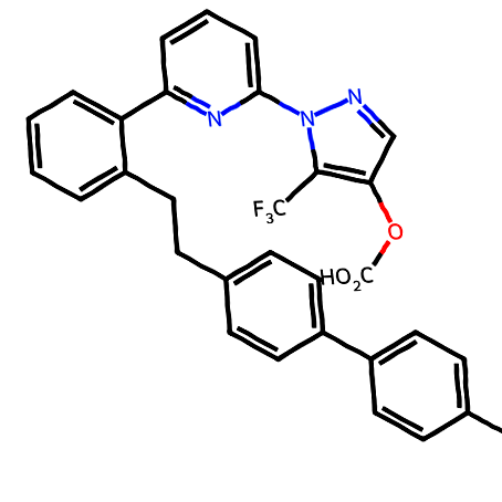 O=C(O)Oc1cnn(-c2cccc(-c3ccccc3CCc3ccc(-c4ccc(C(F)(F)F)cc4)cc3)n2)c1C(F)(F)F